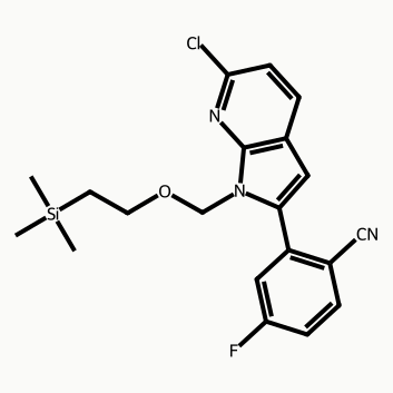 C[Si](C)(C)CCOCn1c(-c2cc(F)ccc2C#N)cc2ccc(Cl)nc21